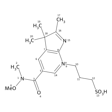 CON(C)C(=O)c1cc2c([n+](CCCS(=O)(=O)O)c1)N=C(C)C2(C)C